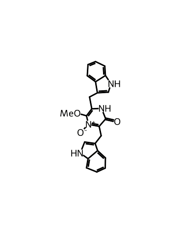 COc1c(Cc2c[nH]c3ccccc23)[nH]c(=O)c(Cc2c[nH]c3ccccc23)[n+]1[O-]